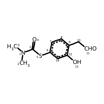 CN(C)C(=O)Sc1ccc(CC=O)c(O)c1